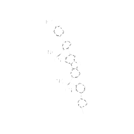 Cc1ccc(-c2ccc3c(c2)C(=C(C#N)C#N)c2cc4c(cc2-3)oc2cc3c(cc24)C(=C(C#N)C#N)c2cc(-c4ccc(C(F)(F)F)cc4)ccc2-3)cc1